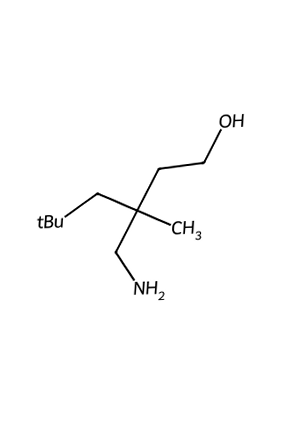 CC(C)(C)CC(C)(CN)CCO